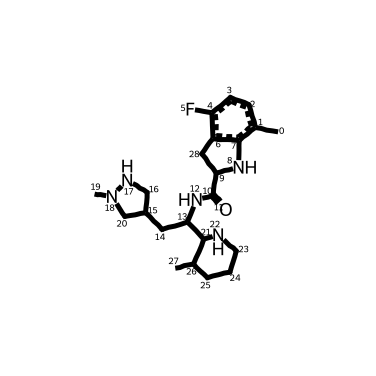 Cc1ccc(F)c2c1NC(C(=O)NC(CC1CNN(C)C1)C1NCCCC1C)C2